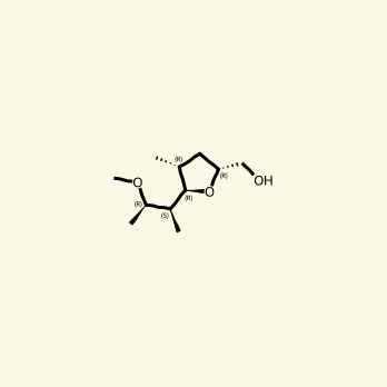 CO[C@H](C)[C@H](C)[C@@H]1O[C@@H](CO)C[C@H]1C